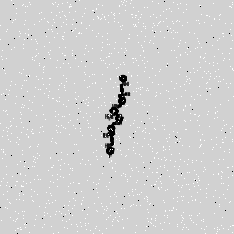 CCn1c(C#CCNc2ccc(F)cc2)cc2cc(CNC3CCOC(C4CC(NCc5ccc6c(c5)cc(C#CCNc5ccccc5)n6CC)CCN4C)C3)ccc21